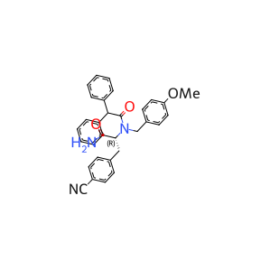 COc1ccc(CN(C(=O)C(c2ccccc2)c2ccccc2)[C@H](Cc2ccc(C#N)cc2)C(N)=O)cc1